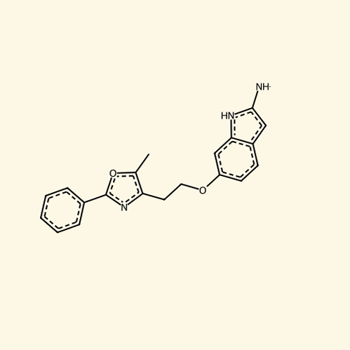 Cc1oc(-c2ccccc2)nc1CCOc1ccc2cc([NH])[nH]c2c1